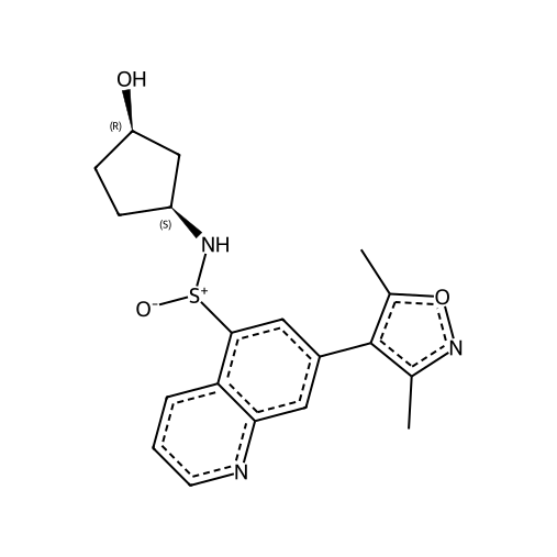 Cc1noc(C)c1-c1cc([S+]([O-])N[C@H]2CC[C@@H](O)C2)c2cccnc2c1